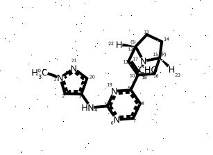 Cn1cc(Nc2nccc(C3=C[C@@H]4CC[C@H](C3)N4C=O)n2)cn1